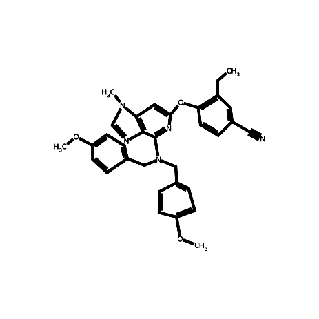 CCc1cc(C#N)ccc1Oc1cc2c(ncn2C)c(N(Cc2ccc(OC)cc2)Cc2ccc(OC)cc2)n1